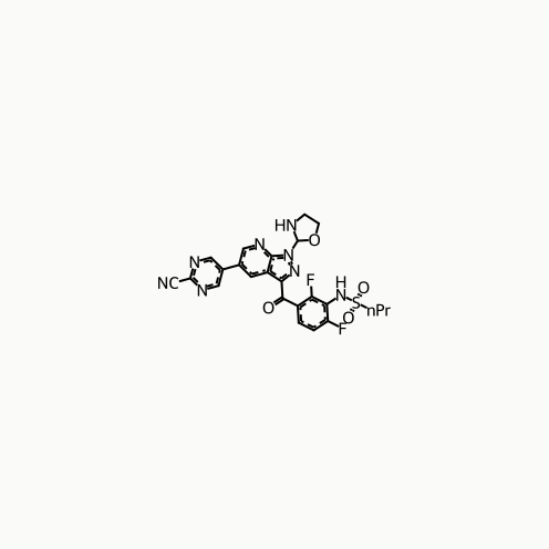 CCCS(=O)(=O)Nc1c(F)ccc(C(=O)c2nn(C3NCCO3)c3ncc(-c4cnc(C#N)nc4)cc23)c1F